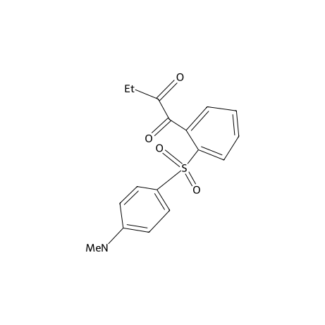 CCC(=O)C(=O)c1ccccc1S(=O)(=O)c1ccc(NC)cc1